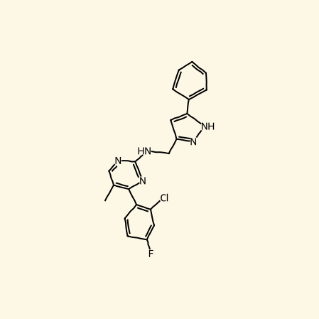 Cc1cnc(NCc2cc(-c3ccccc3)[nH]n2)nc1-c1ccc(F)cc1Cl